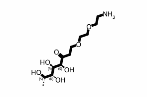 C[C@H](O)[C@@H](O)[C@@H](O)[C@H](O)C(=O)CCOCCOCCN